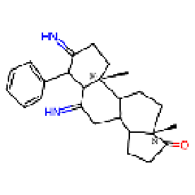 C[C@]12CCC(=N)C(c3ccccc3)C1C(=N)CC1C2CC[C@]2(C)C(=O)CCC12